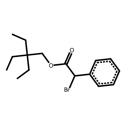 CCC(CC)(CC)COC(=O)C(Br)c1ccccc1